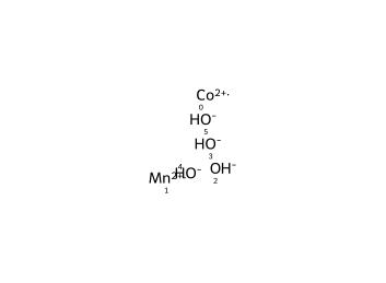 [Co+2].[Mn+2].[OH-].[OH-].[OH-].[OH-]